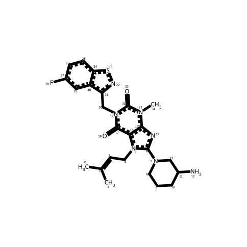 CC(C)=CCn1c(N2CCCC(N)C2)nc2c1c(=O)n(Cc1nsc3ccc(F)cc13)c(=O)n2C